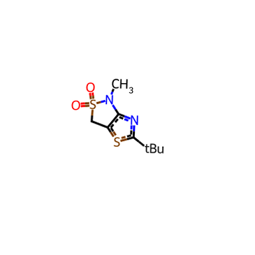 CN1c2nc(C(C)(C)C)sc2CS1(=O)=O